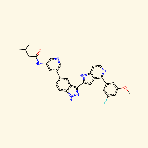 COc1cc(F)cc(-c2nccc3[nH]c(-c4n[nH]c5ccc(-c6cncc(NC(=O)CC(C)C)c6)cc45)cc23)c1